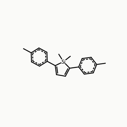 Cc1ccc(C2=CC=C(c3ccc(C)cc3)[Si]2(C)C)cc1